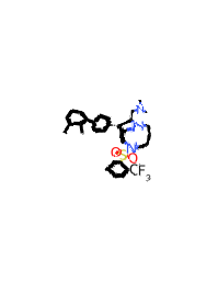 Cc1cccc(-c2ccc([C@H]3C4CN(S(=O)(=O)c5ccccc5C(F)(F)F)CCCCN4[C@@H]3CN(C)C)cc2)c1C